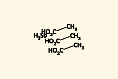 CC(=O)O.CC(=O)O.CC(=O)O.[SbH3]